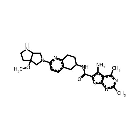 COC12CCNC1CN(c1ccc3c(n1)CCC(NC(=O)c1sc4nc(C)nc(C)c4c1N)C3)C2